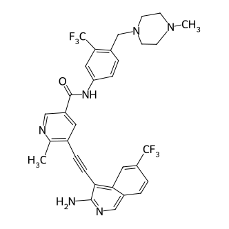 Cc1ncc(C(=O)Nc2ccc(CN3CCN(C)CC3)c(C(F)(F)F)c2)cc1C#Cc1c(N)ncc2ccc(C(F)(F)F)cc12